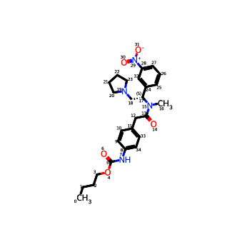 CCCCOC(=O)Nc1ccc(CC(=O)N(C)[C@H](CN2CCCC2)c2cccc([N+](=O)[O-])c2)cc1